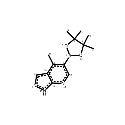 Cc1c(B2OC(C)(C)C(C)(C)O2)cnc2[nH]ncc12